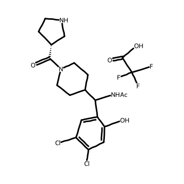 CC(=O)NC(c1cc(Cl)c(Cl)cc1O)C1CCN(C(=O)[C@@H]2CCNC2)CC1.O=C(O)C(F)(F)F